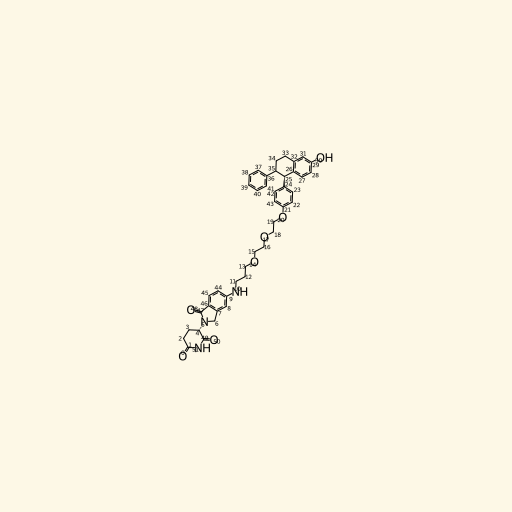 O=C1CC[C@H](N2Cc3cc(NCCCOCCOCCOc4ccc([C@@H]5c6ccc(O)cc6CCC5c5ccccc5)cc4)ccc3C2=O)C(=O)N1